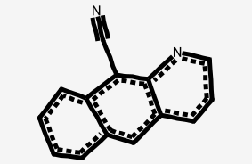 N#Cc1c2ccccc2cc2cccnc12